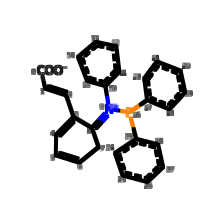 O=C([O-])C=CC1=CC=CCC1=[N+](c1ccccc1)P(c1ccccc1)c1ccccc1